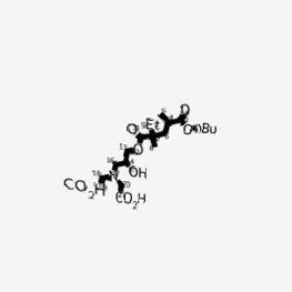 CCCCOC(=O)C(C)CC(C)(CC)C(=O)OCC(O)CN(CC(=O)O)CC(=O)O